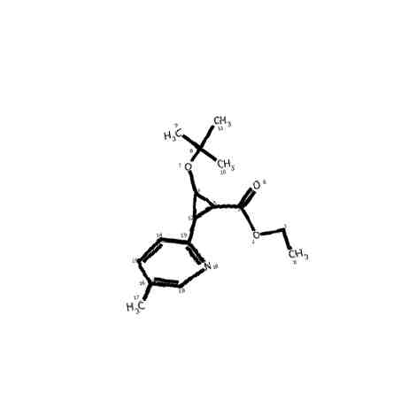 CCOC(=O)C1C(OC(C)(C)C)C1c1ccc(C)cn1